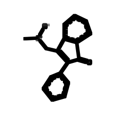 C[S+]([O-])CC1=C(c2ccccc2)C(=O)c2ccccc21